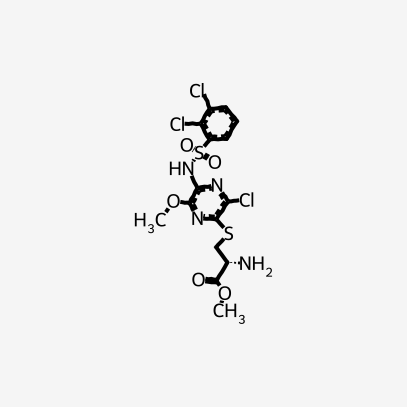 COC(=O)[C@@H](N)CSc1nc(OC)c(NS(=O)(=O)c2cccc(Cl)c2Cl)nc1Cl